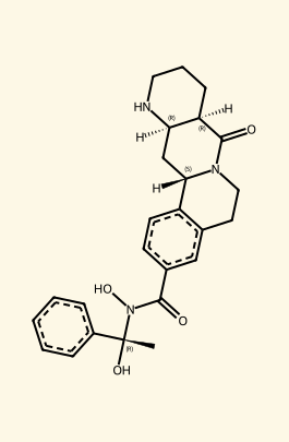 C[C@@](O)(c1ccccc1)N(O)C(=O)c1ccc2c(c1)CCN1C(=O)[C@@H]3CCCN[C@@H]3C[C@@H]21